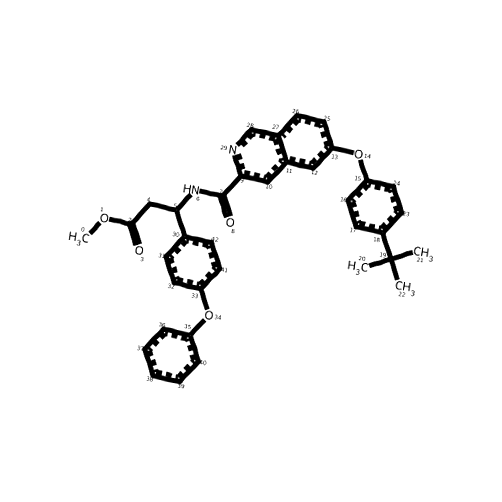 COC(=O)CC(NC(=O)c1cc2cc(Oc3ccc(C(C)(C)C)cc3)ccc2cn1)c1ccc(Oc2ccccc2)cc1